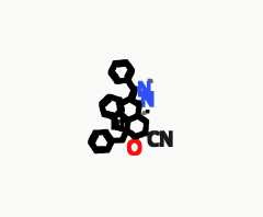 Cn1nc2c(c1-c1ccccc1)CC[C@H]1C(Cc3ccccc3)(Cc3ccccc3)C(=O)C(C#N)C[C@]21C